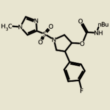 CCCCNC(=O)OC1CN(S(=O)(=O)c2cn(C)cn2)CC1c1ccc(F)cc1